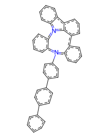 c1ccc(-c2ccc(-c3ccc(-n4c5ccccc5c5cccc6c7ccccc7n(c7ccccc74)c56)cc3)cc2)cc1